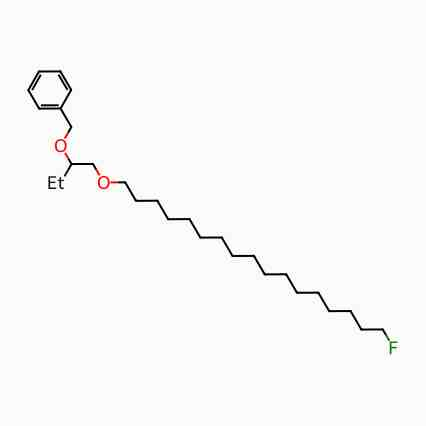 CCC(COCCCCCCCCCCCCCCCCCF)OCc1ccccc1